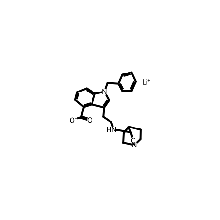 O=C([O-])c1cccc2c1c(CCNC1CN3CCC1CC3)cn2Cc1ccccc1.[Li+]